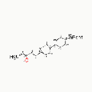 C=CC(=O)CCC1CCC(C2CCC(CCCCC)CC2)CC1